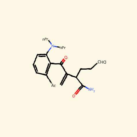 C=C(C(=O)c1c(C(C)=O)cccc1N(CCC)CCC)C(CCC=O)C(N)=O